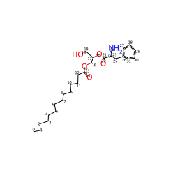 CCCCCCCCCCCCCC(=O)OCC(CO)OC(=O)[C@@H](N)Cc1ccccc1